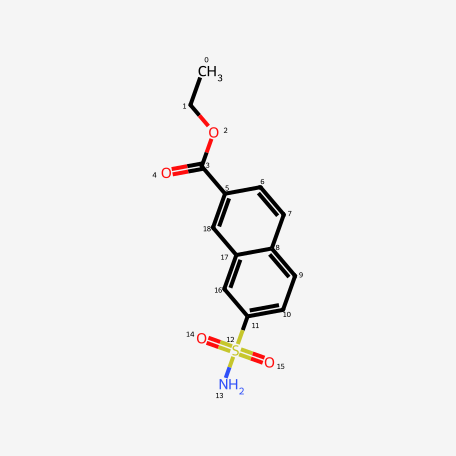 CCOC(=O)c1ccc2ccc(S(N)(=O)=O)cc2c1